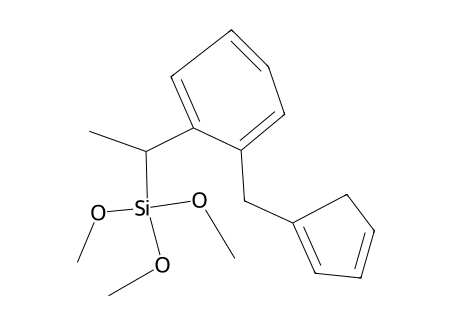 CO[Si](OC)(OC)C(C)c1ccccc1CC1=CC=CC1